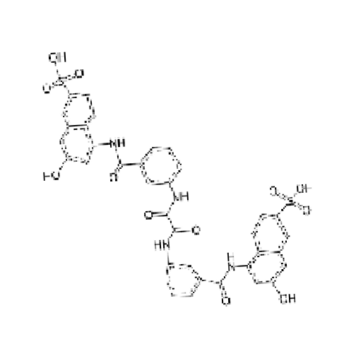 O=C(Nc1cccc(C(=O)Nc2cc(O)cc3cc(S(=O)(=O)O)ccc23)c1)C(=O)Nc1cccc(C(=O)Nc2cc(O)cc3cc(S(=O)(=O)O)ccc23)c1